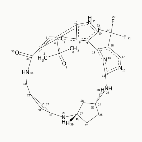 CP(C)(=O)c1c2ccc3c(c[nH]c13)-c1nc(ncc1C(F)(F)F)N[C@H]1CC[C@@H](C1)NC1CC(CNC2=O)C1